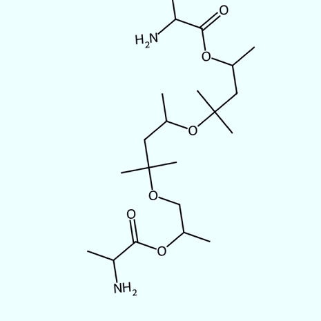 CC(COC(C)(C)CC(C)OC(C)(C)CC(C)OC(=O)C(C)N)OC(=O)C(C)N